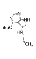 C=CCNc1c[nH]c2ncnc(OCC(C)C)c12